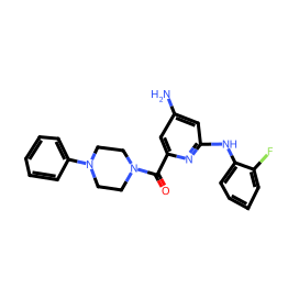 Nc1cc(Nc2ccccc2F)nc(C(=O)N2CCN(c3ccccc3)CC2)c1